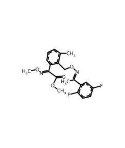 CO/N=C(/C(=O)OC)c1cccc(C)c1CO/N=C(\C)c1cc(F)ccc1F